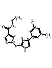 CCOC(=O)c1cnn(Cc2nc(-c3cc(C)cc(Cl)c3)cs2)c1